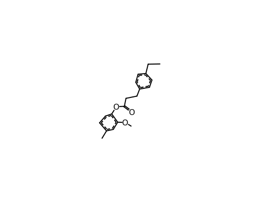 CCc1ccc(CCC(=O)Oc2ccc(C)cc2OC)cc1